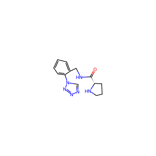 O=C(NCc1ccccc1-n1cnnn1)[C@@H]1CCCN1